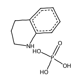 O=P(O)(O)O.c1ccc2c(c1)CCCN2